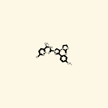 Cc1ccc(C2=NN(C(=O)N[C@H](C)c3ccc(Cl)nn3)C[C@H]2N2CCOC2=O)cc1